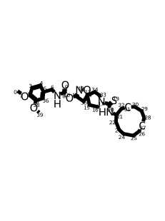 COc1ccc(CNC(=O)OC2=NOC3(CCN(C(=S)NC4CCCCCCCCCCC4)CC3)C2)cc1OC